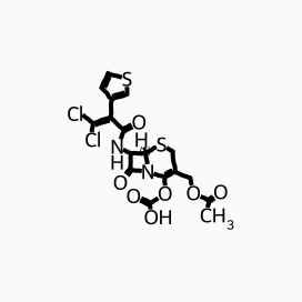 CC(=O)OCC1=C(OC(=O)O)N2C(=O)C(NC(=O)C(=C(Cl)Cl)c3ccsc3)[C@@H]2SC1